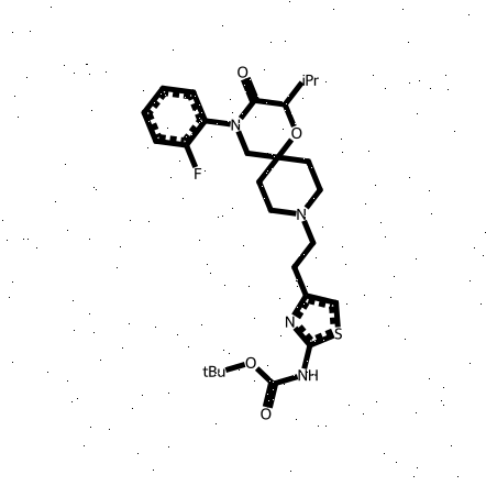 CC(C)C1OC2(CCN(CCc3csc(NC(=O)OC(C)(C)C)n3)CC2)CN(c2ccccc2F)C1=O